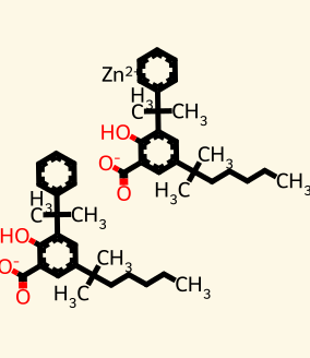 CCCCCC(C)(C)c1cc(C(=O)[O-])c(O)c(C(C)(C)c2ccccc2)c1.CCCCCC(C)(C)c1cc(C(=O)[O-])c(O)c(C(C)(C)c2ccccc2)c1.[Zn+2]